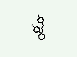 [CH2]c1ccc([CH]CCC2(c3ccc(F)cc3)CCCCC2)cc1